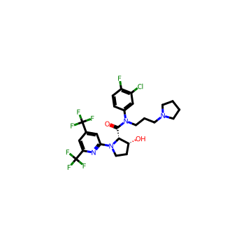 O=C([C@@H]1[C@H](O)CCN1c1cc(C(F)(F)F)cc(C(F)(F)F)n1)N(CCCN1CCCC1)c1ccc(F)c(Cl)c1